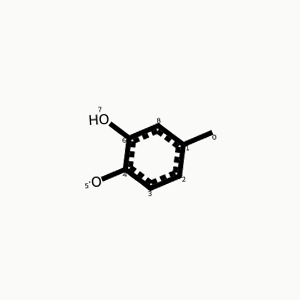 Cc1ccc([O])c(O)c1